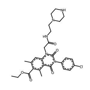 CCOC(=O)c1c(C)cc2c(c1C)c(=O)n(-c1ccc(Cl)cc1)c(=O)n2CC(=O)NCCN1CCNCC1